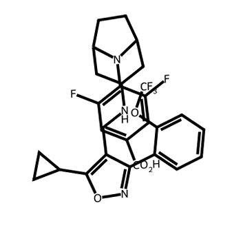 O=C(O)c1cc(F)c(N2C3CCC2CC(NCc2c(-c4ccccc4OC(F)(F)F)noc2C2CC2)C3)c(F)c1